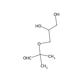 CC(C)([C]=O)OCC(O)CO